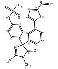 CN1C(=O)C(c2ccc(OS(C)(=O)=O)cc2)(c2cccc(-c3ccc(C=O)s3)c2)N=C1N